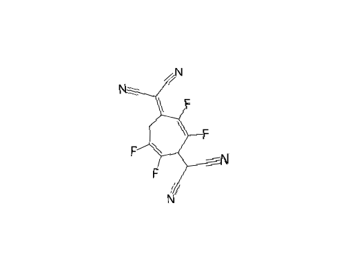 N#CC(C#N)=C1CC(F)=C(F)C(C(C#N)C#N)C(F)=C1F